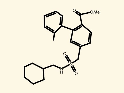 COC(=O)c1ccc(CS(=O)(=O)NCC2CCCCC2)cc1-c1ccccc1C